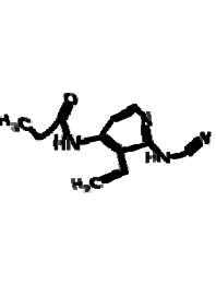 C=Cc1c(NC(=O)CC)ccnc1NC#N